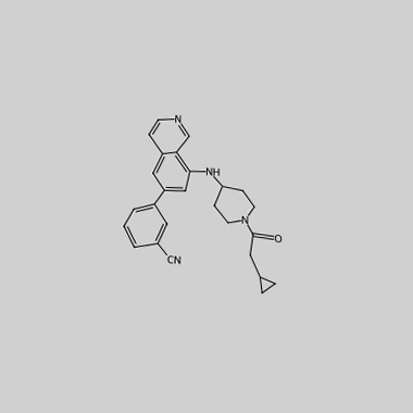 N#Cc1cccc(-c2cc(NC3CCN(C(=O)CC4CC4)CC3)c3cnccc3c2)c1